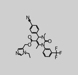 CCn1cncc1COC(=O)C1=C(C)N(c2cccc(C(F)(F)F)c2)C(=O)N(C)C1c1ccc(C#N)cc1